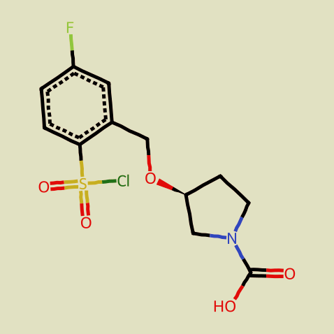 O=C(O)N1CC[C@H](OCc2cc(F)ccc2S(=O)(=O)Cl)C1